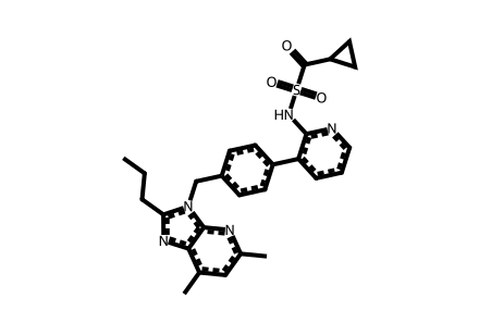 CCCc1nc2c(C)cc(C)nc2n1Cc1ccc(-c2cccnc2NS(=O)(=O)C(=O)C2CC2)cc1